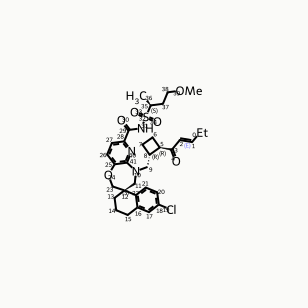 CC/C=C/C(=O)[C@@H]1CC[C@H]1CN1C[C@@]2(CCCc3cc(Cl)ccc32)COc2ccc(C(=O)NS(=O)(=O)[C@@H](C)CCOC)nc21